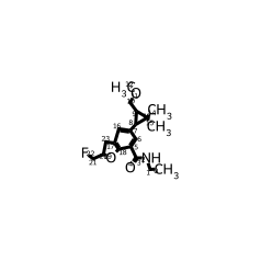 CCNC(=O)c1cc(C2C(COC)C2(C)C)cc2c1OC(CF)C2